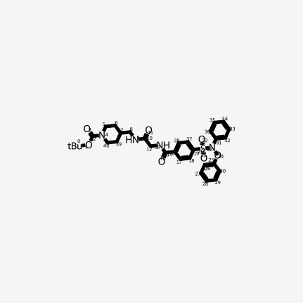 CC(C)(C)OC(=O)N1CCC(CNC(=O)CNC(=O)c2ccc(S(=O)(=O)N(Oc3ccccc3)c3ccccc3)cc2)CC1